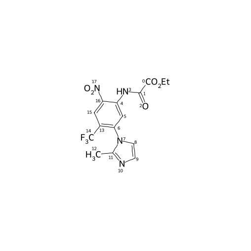 CCOC(=O)C(=O)Nc1cc(-n2ccnc2C)c(C(F)(F)F)cc1[N+](=O)[O-]